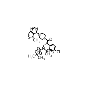 CC(C)N(C[C@H](C(=O)N1CCN(c2ncnc3c2[C@H](C)SC3)CC1)c1ccc(Cl)cc1)C(=O)OC(C)(C)C